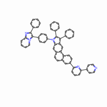 c1ccc(-c2nc3ccccn3c2-c2ccc(-n3c(-c4ccccc4)c(-c4ccccc4)c4cc5c(ccc6cc(-c7cccc(-c8ccncc8)n7)ccc65)cc43)cc2)cc1